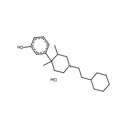 CC1CN(CCC2CCCCC2)CCC1(C)c1cccc(O)c1.Cl